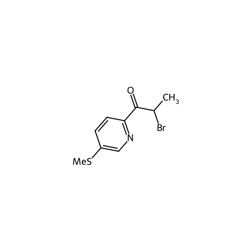 CSc1ccc(C(=O)C(C)Br)nc1